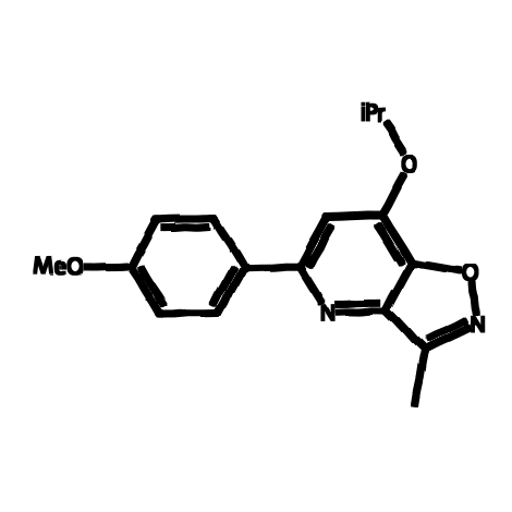 COc1ccc(-c2cc(OC(C)C)c3onc(C)c3n2)cc1